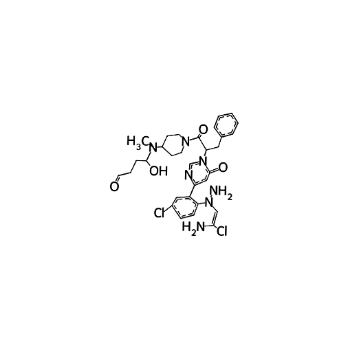 CN(C(O)CCC=O)C1CCN(C(=O)C(Cc2ccccc2)n2cnc(-c3cc(Cl)ccc3N(N)/C=C(\N)Cl)cc2=O)CC1